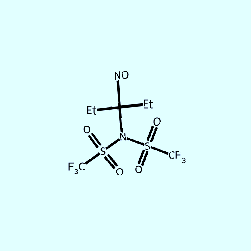 CCC(CC)(N=O)N(S(=O)(=O)C(F)(F)F)S(=O)(=O)C(F)(F)F